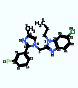 CCCn1c(Cn2cc(C)nc2-c2cccc(F)c2)nc2ccc(Cl)cc21